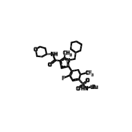 Cc1c(C(=O)NC2CCOCC2)cc(C2=C(F)C=C(S(=O)(=O)NC(C)(C)C)C(C(F)(F)F)C2)n1CC1CCCCC1